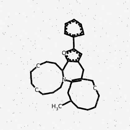 CC1CCCCCCC2=C(C1)N1CCCCCCCCCC1c1oc(-c3ccccc3)cc1C2